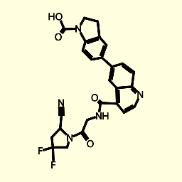 N#CC1CC(F)(F)CN1C(=O)CNC(=O)c1ccnc2ccc(-c3ccc4c(c3)CCN4C(=O)O)cc12